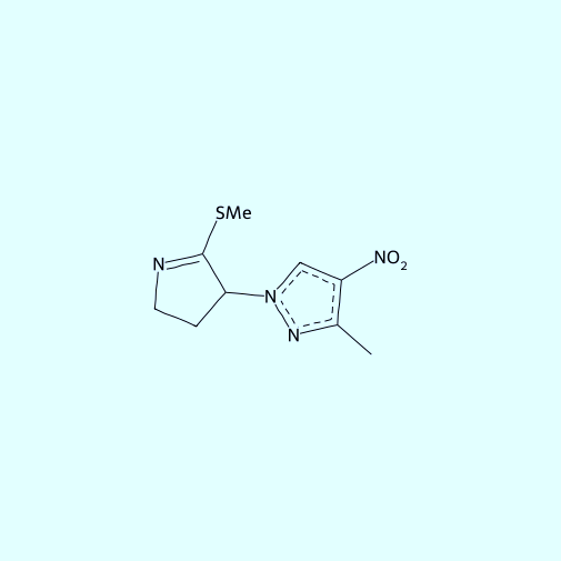 CSC1=NCCC1n1cc([N+](=O)[O-])c(C)n1